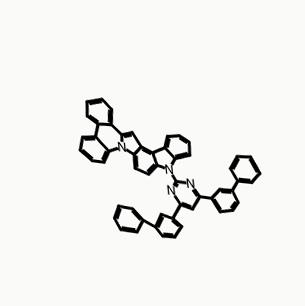 c1ccc(-c2cccc(-c3cc(-c4cccc(-c5ccccc5)c4)nc(-n4c5ccccc5c5c6cc7c8ccccc8c8ccccc8n7c6ccc54)n3)c2)cc1